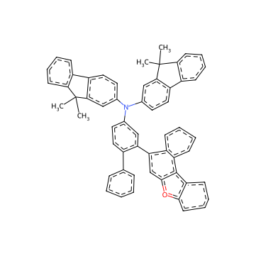 CC1(C)c2ccccc2-c2ccc(N(c3ccc(-c4ccccc4)c(-c4cc5oc6ccccc6c5c5ccccc45)c3)c3ccc4c(c3)C(C)(C)c3ccccc3-4)cc21